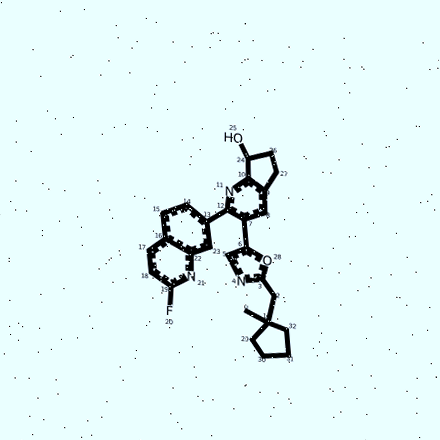 CC1(Cc2ncc(-c3cc4c(nc3-c3ccc5ccc(F)nc5c3)C(O)CC4)o2)CCCC1